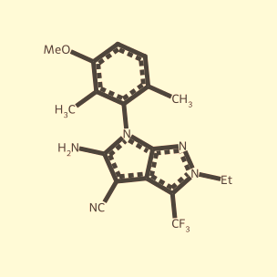 CCn1nc2c(c(C#N)c(N)n2-c2c(C)ccc(OC)c2C)c1C(F)(F)F